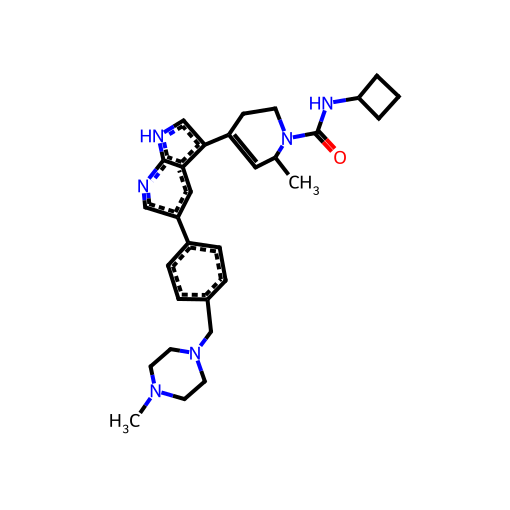 CC1C=C(c2c[nH]c3ncc(-c4ccc(CN5CCN(C)CC5)cc4)cc23)CCN1C(=O)NC1CCC1